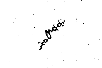 CCC/C(F)=C(\F)c1ccc(-c2ccc(CCc3cc(F)c(-c4cc(F)c(C(F)(F)F)c(F)c4)c(F)c3)cc2)cc1